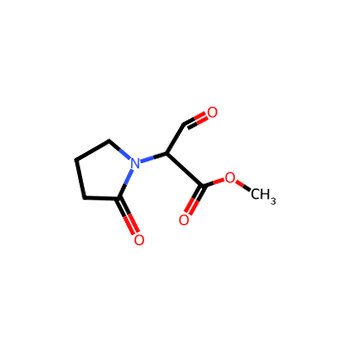 COC(=O)C(C=O)N1CCCC1=O